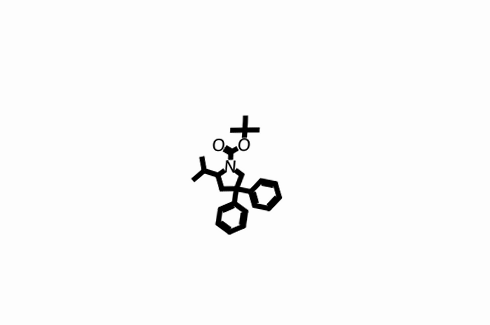 CC(C)C1CC(c2ccccc2)(c2ccccc2)CN1C(=O)OC(C)(C)C